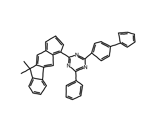 CC1(C)c2ccccc2-c2cc3c(-c4nc(-c5ccccc5)nc(-c5ccc(-c6ccccc6)cc5)n4)cccc3cc21